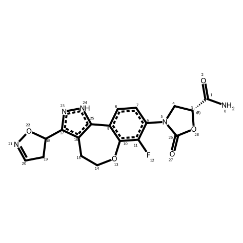 NC(=O)[C@H]1CN(c2ccc3c(c2F)OCCc2c(C4CC=NO4)n[nH]c2-3)C(=O)O1